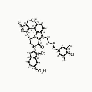 CCn1c(N2C[C@@H](C)n3c(c(CCCOc4cc(C)c(Cl)c(C)c4)c4ccc(Cl)c(-c5c(C)nn(C)c5C)c43)C2=O)cc2ccc(C(=O)O)cc21